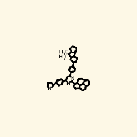 CC1(C)c2ccccc2-c2ccc(-c3ccc(-c4cc(-c5ccc(-c6cccnc6)cc5)nc(-c5ccc6ccc7cccc8ccc5c6c78)n4)cc3)cc21